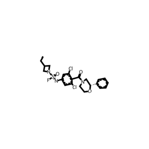 CCC1CN(S(=O)(F)=Nc2cc(Cl)c(C(=O)N3CCO[C@@H](c4ccccc4)C3)c(Cl)c2)C1